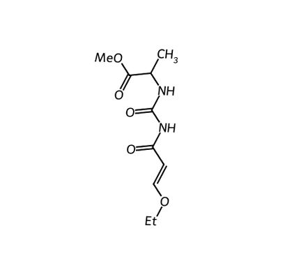 CCO/C=C/C(=O)NC(=O)NC(C)C(=O)OC